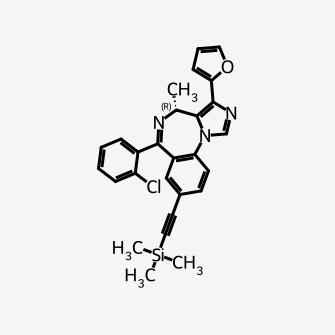 C[C@H]1N=C(c2ccccc2Cl)c2cc(C#C[Si](C)(C)C)ccc2-n2cnc(-c3ccco3)c21